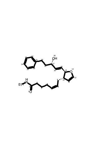 CCNC(=O)CCC/C=C\C[C@H]1C=CO[C@@H]1/C=C/[C@@H](O)CCc1ccccc1